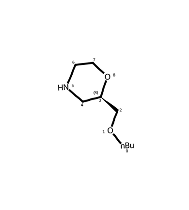 CCCCOC[C@H]1CNCCO1